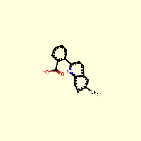 Cc1ccc2nc(-c3ccccc3C(=O)O)ccc2c1